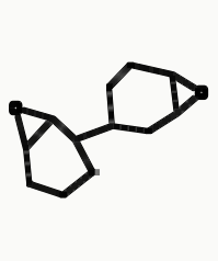 [CH]1CCC2OC2C1C1CCC2OC2C1